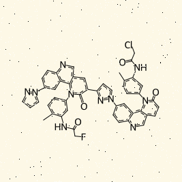 Cc1ccc(-n2c(=O)c(-c3ccn(-c4ccc5ncc6ccc(=O)n(-c7ccc(C)c(NC(=O)CCl)c7)c6c5c4)n3)cc3cnc4ccc(-n5cccn5)cc4c32)cc1NC(=O)CF